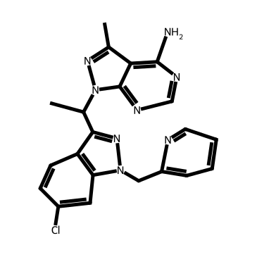 Cc1nn(C(C)c2nn(Cc3ccccn3)c3cc(Cl)ccc23)c2ncnc(N)c12